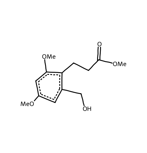 COC(=O)CCc1c(CO)cc(OC)cc1OC